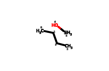 CCCC.O[SiH3]